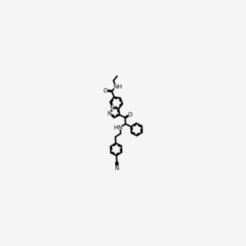 CCNC(=O)c1ccc2c(C(=O)C(NCCc3ccc(C#N)cc3)c3ccccc3)cnn2c1